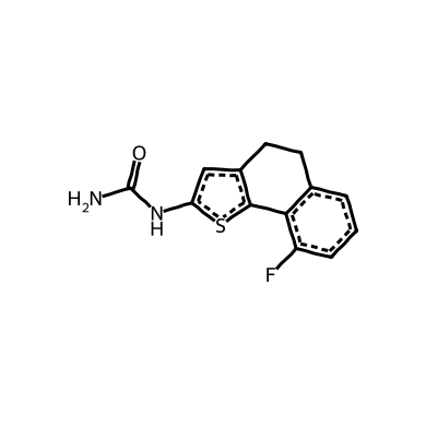 NC(=O)Nc1cc2c(s1)-c1c(F)cccc1CC2